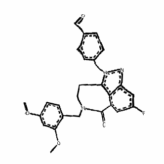 COc1ccc(CN2CCc3c4c(cc(F)cc4nn3-c3ccc(C=O)cc3)C2=O)c(OC)c1